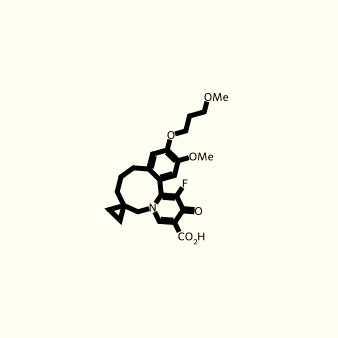 COCCCOc1cc2c(cc1OC)-c1c(F)c(=O)c(C(=O)O)cn1CC1(CCC2)CC1